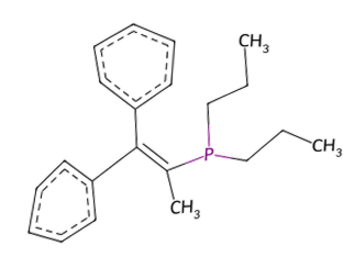 CCCP(CCC)C(C)=C(c1ccccc1)c1ccccc1